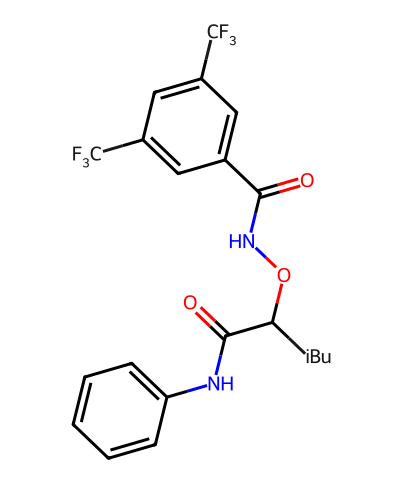 CCC(C)C(ONC(=O)c1cc(C(F)(F)F)cc(C(F)(F)F)c1)C(=O)Nc1ccccc1